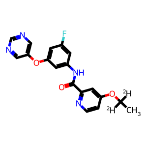 [2H]C([2H])(C)Oc1ccnc(C(=O)Nc2cc(F)cc(Oc3cncnc3)c2)c1